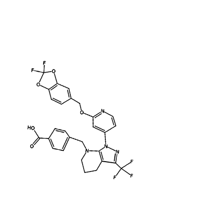 O=C(O)c1ccc(CN2CCCc3c(C(F)(F)F)nn(-c4ccnc(OCc5ccc6c(c5)OC(F)(F)O6)c4)c32)cc1